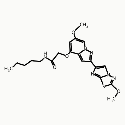 CCCCCNC(=O)COc1cc(OC)cn2nc(-c3cn4nc(OC)sc4n3)cc12